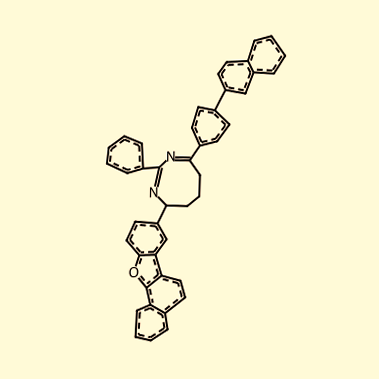 c1ccc(C2=N/C(c3ccc4oc5c6ccccc6ccc5c4c3)CCC/C(c3ccc(-c4ccc5ccccc5c4)cc3)=N\2)cc1